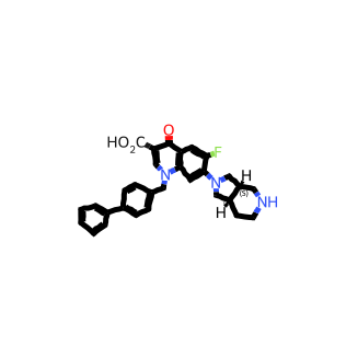 O=C(O)c1cn(Cc2ccc(-c3ccccc3)cc2)c2cc(N3C[C@H]4CCNC[C@H]4C3)c(F)cc2c1=O